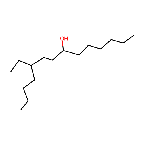 CCCCCCC(O)CCC(CC)CCCC